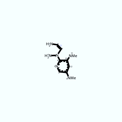 CNc1cnc(N(N)/C=C\N)c(NC)c1